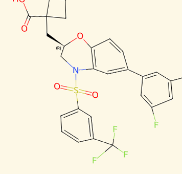 Cc1cc(F)cc(-c2ccc3c(c2)N(S(=O)(=O)c2cccc(C(F)(F)F)c2)C[C@@H](CC2(C(=O)O)CCC2)O3)c1